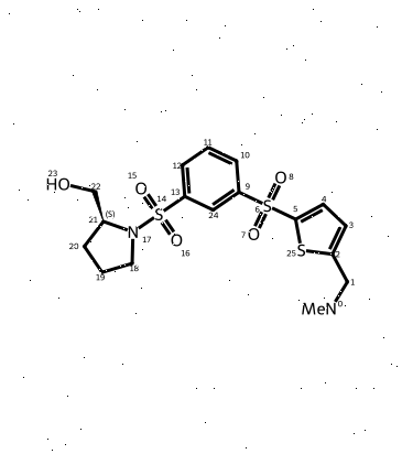 CNCc1ccc(S(=O)(=O)c2cccc(S(=O)(=O)N3CCC[C@H]3CO)c2)s1